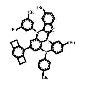 CC(C)(C)c1ccc(N2c3ccc(C(C)(C)C)cc3B3c4sc5ccc(C(C)(C)C)cc5c4N(c4cc(C(C)(C)C)cc(C(C)(C)C)c4)c4cc(-c5c6c(cc7c5CC7)CC6)cc2c43)cc1